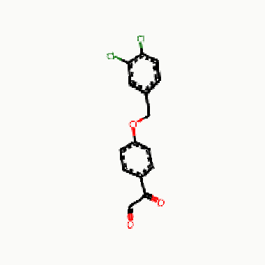 O=CC(=O)c1ccc(OCc2ccc(Cl)c(Cl)c2)cc1